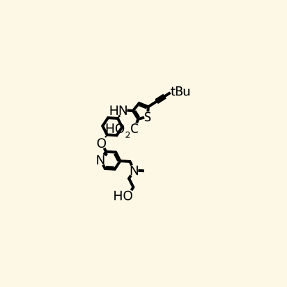 CN(CCO)Cc1ccnc(O[C@H]2CC[C@H](Nc3cc(C#CC(C)(C)C)sc3C(=O)O)CC2)c1